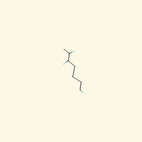 O=S(=O)(O)C(F)C(F)CCCCF